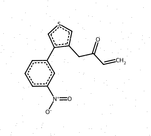 C=CC(=O)Cc1cscc1-c1cccc([N+](=O)[O-])c1